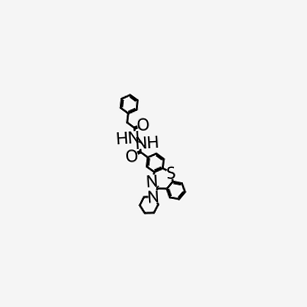 O=C(Cc1ccccc1)NNC(=O)c1ccc2c(c1)N=C(N1CCCCC1)c1ccccc1S2